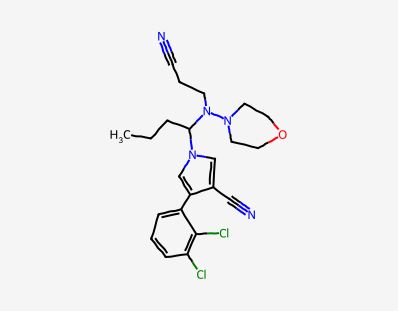 CCCC(N(CCC#N)N1CCOCC1)n1cc(C#N)c(-c2cccc(Cl)c2Cl)c1